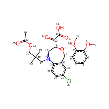 COc1cccc([C@H]2O[C@@H](C(=O)C(=O)O)CN(CC(C)(C)COC(C)=O)c3ccc(Cl)cc32)c1OC